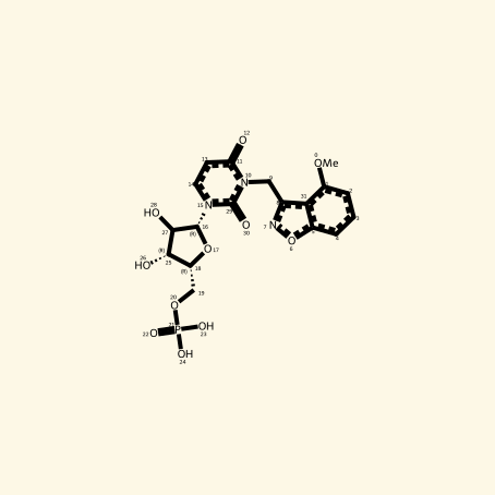 COc1cccc2onc(Cn3c(=O)ccn([C@@H]4O[C@H](COP(=O)(O)O)[C@H](O)C4O)c3=O)c12